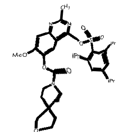 COc1cc2nc(C)nc(OS(=O)(=O)c3c(C(C)C)cc(C(C)C)cc3C(C)C)c2cc1OC(=O)N1CCC2(CCOC2)CC1